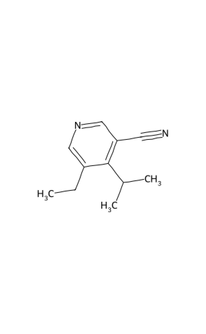 CCc1cncc(C#N)c1C(C)C